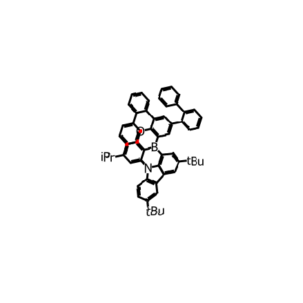 CC(C)c1cc2c3c(c1)-n1c4ccc(C(C)(C)C)cc4c4cc(C(C)(C)C)cc(c41)B3c1cc(-c3ccccc3-c3ccccc3)cc(-c3ccccc3-c3ccccc3)c1O2